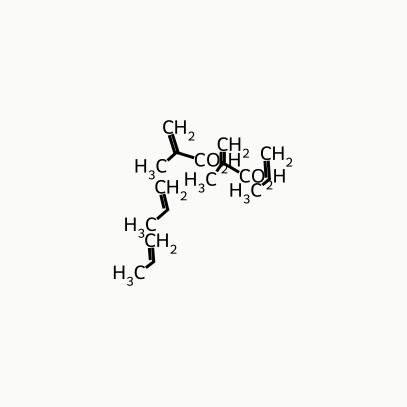 C=C(C)C(=O)O.C=C(C)C(=O)O.C=CC.C=CC.C=CC